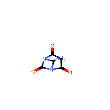 NC1N2C(=O)CC(=O)N1C2=O